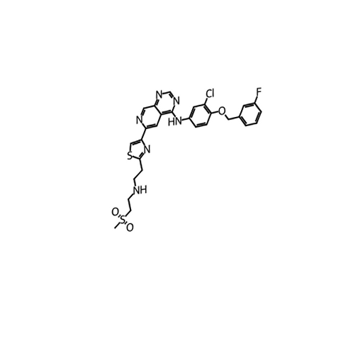 CS(=O)(=O)CCNCCc1nc(-c2cc3c(Nc4ccc(OCc5cccc(F)c5)c(Cl)c4)ncnc3cn2)cs1